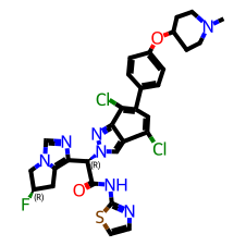 CN1CCC(Oc2ccc(-c3cc(Cl)c4cn([C@@H](C(=O)Nc5nccs5)c5ncn6c5C[C@@H](F)C6)nc4c3Cl)cc2)CC1